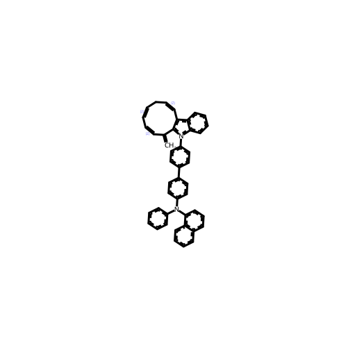 C=C1/C=C\C=C/C/C=C\c2c1n(-c1ccc(-c3ccc(N(c4ccccc4)c4cccc5ccccc45)cc3)cc1)c1ccccc21